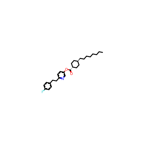 CCCCCCCC[C@H]1CC[C@H](C(=O)Oc2ccc(CCc3ccc(F)cc3)nc2)CC1